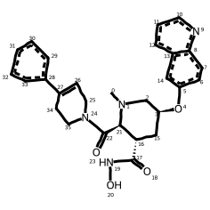 CN1C[C@@H](Oc2ccc3ncccc3c2)C[C@H](C(=O)NO)[C@H]1C(=O)N1CC=C(c2ccccc2)CC1